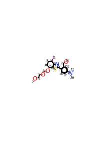 COCCOCOC1CCC(I)c2nc(-c3ccc(N(C)C)cc3C=O)sc21